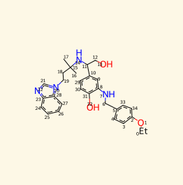 CCOc1ccc(CNc2cc(C(CO)NC(C)(C)CCn3cnc4ccccc43)ccc2O)cc1